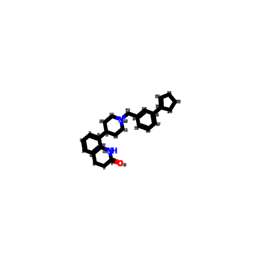 O=C1CCc2cccc(C3CCN(Cc4cccc(C5=CCCC5)c4)CC3)c2N1